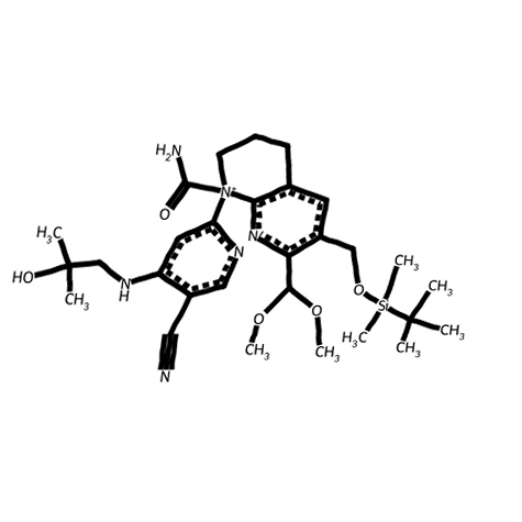 COC(OC)c1nc2c(cc1CO[Si](C)(C)C(C)(C)C)CCC[N+]2(C(N)=O)c1cc(NCC(C)(C)O)c(C#N)cn1